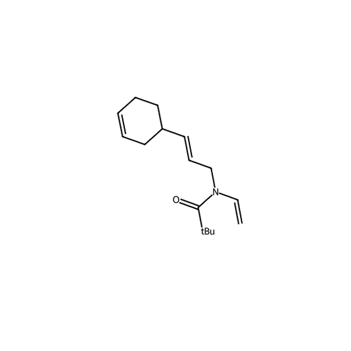 C=CN(C/C=C/C1CC=CCC1)C(=O)C(C)(C)C